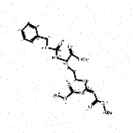 COC(=O)[C@H](CCCN/C(=N/C(=O)OC(C)(C)C)NC(=O)OC(C)(C)C)NC(=O)OCc1ccccc1